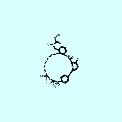 CN(Cc1cccc2c1OCCCCCC[C@H](O)CC(C)(C)S(=O)(=O)c1ccc(cc1)-c1cnc(N)c(n1)C(=O)N2)C(=O)OC(C)(C)C